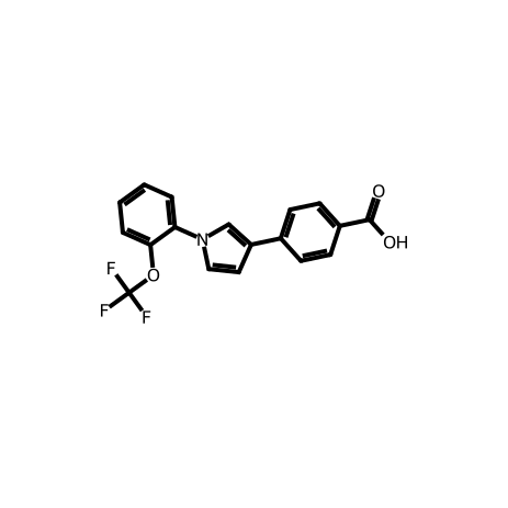 O=C(O)c1ccc(-c2ccn(-c3ccccc3OC(F)(F)F)c2)cc1